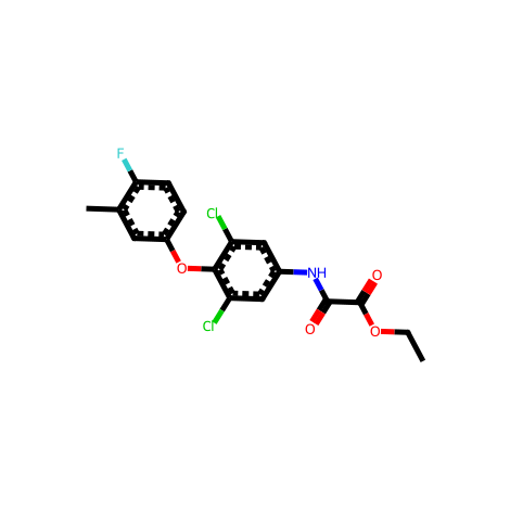 CCOC(=O)C(=O)Nc1cc(Cl)c(Oc2ccc(F)c(C)c2)c(Cl)c1